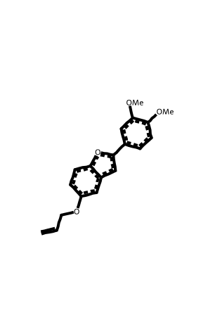 C=CCOc1ccc2oc(-c3ccc(OC)c(OC)c3)cc2c1